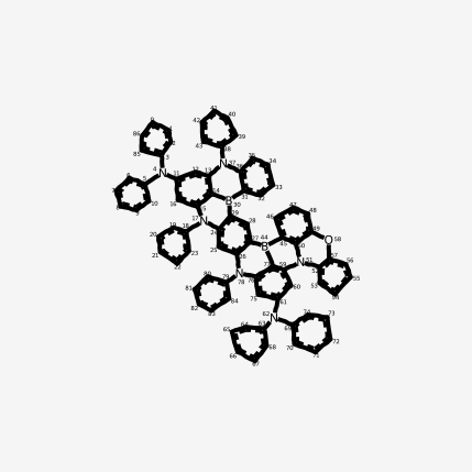 c1ccc(N(c2ccccc2)c2cc3c4c(c2)N(c2ccccc2)c2cc5c(cc2B4c2ccccc2N3c2ccccc2)B2c3cccc4c3N(c3ccccc3O4)c3cc(N(c4ccccc4)c4ccccc4)cc(c32)N5c2ccccc2)cc1